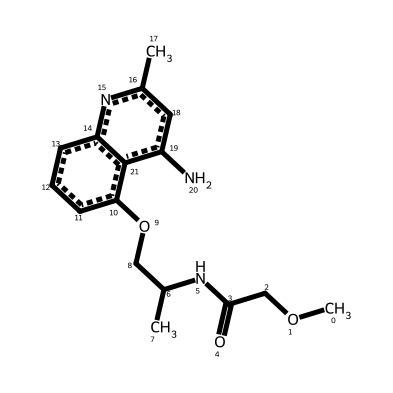 COCC(=O)NC(C)COc1cccc2nc(C)cc(N)c12